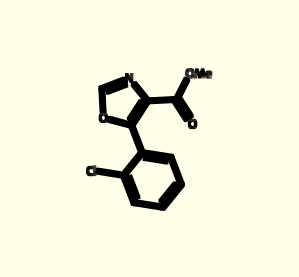 COC(=O)c1ncoc1-c1ccccc1Cl